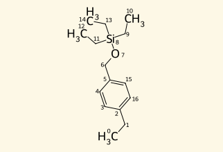 CCc1ccc(CO[Si](CC)(CC)CC)cc1